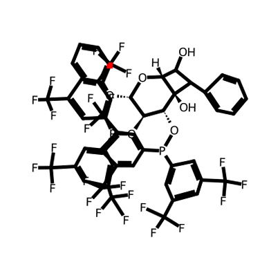 OC1C(c2ccccc2)[C@@]2(O)[C@@H]1O[C@@H](Oc1ccccc1)[C@H](OP(c1cc(C(F)(F)F)cc(C(F)(F)F)c1)c1cc(C(F)(F)F)cc(C(F)(F)F)c1)[C@H]2OP(c1cc(C(F)(F)F)cc(C(F)(F)F)c1)c1cc(C(F)(F)F)cc(C(F)(F)F)c1